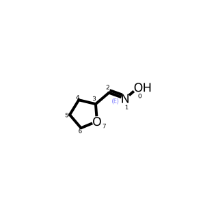 O/N=C/C1CCCO1